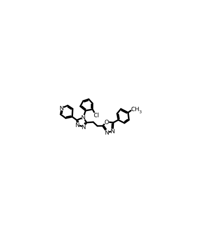 Cc1ccc(-c2nnc(CCc3nnc(-c4ccncc4)n3-c3ccccc3Cl)o2)cc1